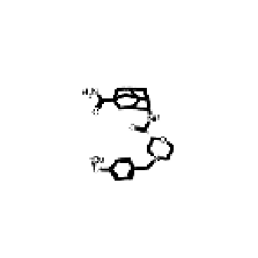 CC(C)(C)Oc1ccc(CN2CCO[C@@H](C(=O)NC3C4CC5CC3CC(C(N)=O)(C5)C4)C2)cc1